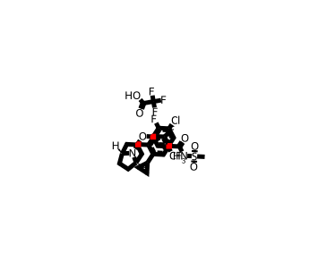 CS(=O)(=O)NC(=O)c1cc(C2CC2)c(CN2[C@@H]3CC[C@H]2CC(Oc2cc(C(F)(F)F)cc(Cl)c2F)C3)cc1F.O=C(O)C(F)(F)F